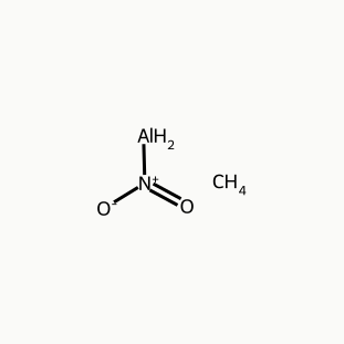 C.O=[N+]([O-])[AlH2]